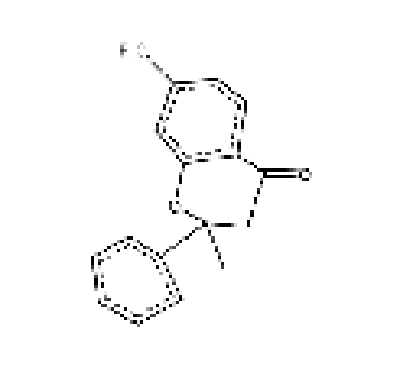 CC1(c2ccccc2)CC(=O)c2ccc(C(F)(F)F)cc2O1